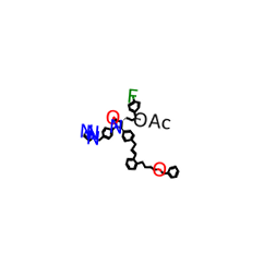 CC(=O)O[C@@H](CC[C@H]1C(=O)N(c2ccc(Cn3ccnn3)cc2)[C@@H]1c1ccc(C/C=C/c2ccccc2CCCCOCc2ccccc2)cc1)c1ccc(F)cc1